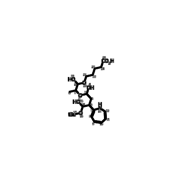 CC(OC(O)CC(C1=CC=CC=CN1)C(O)OC(C)(C)C)C(O)OCCCCC(=O)O